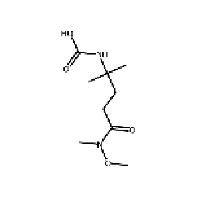 CON(C)C(=O)CCC(C)(C)NC(=O)O